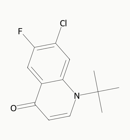 CC(C)(C)n1ccc(=O)c2cc(F)c(Cl)cc21